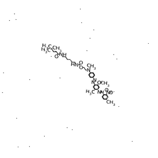 CCN(CCOC(=O)NCCCCCCNC(=O)/C=C/C(C)(C)C)c1ccc(/N=N/c2cc(C)c(/N=N/c3ccc(C)cc3[N+](=O)[O-])cc2OC)cc1